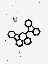 C1=CC2=c3ccccc3=C(CC(c3ccccc3)C3c4ccccc4-c4ccccc43)C2C=C1.[Cl-].[Cl-].[Zr+2]